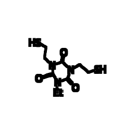 CCn1c(=O)n(CCS)c(=O)n(CCS)c1=O